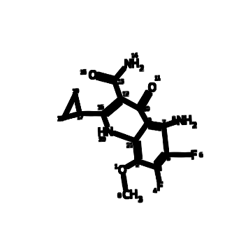 COc1c(F)c(F)c(N)c2c(=O)c(C(N)=O)c(C3CC3)[nH]c12